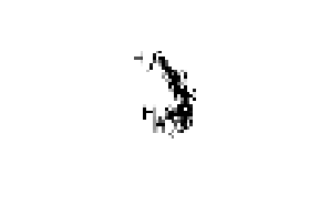 CCCCOC(=O)OOOC(=O)c1ccc(OC)c(OC)c1